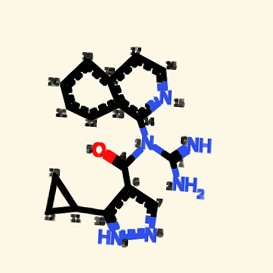 N=C(N)N(C(=O)c1cn[nH]c1C1CC1)c1nccc2ccccc12